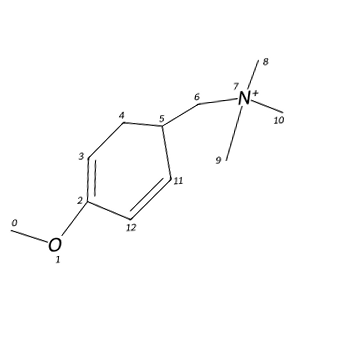 COC1=CCC(C[N+](C)(C)C)C=C1